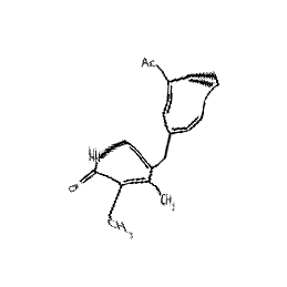 CC(=O)c1cccc(Cc2c[nH]c(=O)c(C)c2C)c1